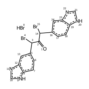 Br.O=C(C(Br)c1ccc2[nH]cnc2c1)C(Br)c1ccc2[nH]cnc2c1